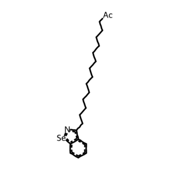 CC(=O)CCCCCCCCCCCCCCc1n[se]c2ccccc12